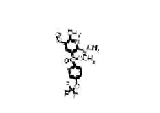 [CH2]c1nc(N(C)C)c(S(=O)(=O)c2ccc(OC(F)(F)F)cc2)cc1N=O